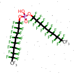 O=P(O)(OC(F)(F)C(F)(F)C(F)(F)C(F)(F)C(F)(F)C(F)(F)C(F)(F)C(F)(F)C(F)(F)F)OC(F)(F)C(F)(F)C(F)(F)C(F)(F)C(F)(F)C(F)(F)C(F)(F)C(F)(F)C(F)(F)F